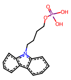 O=P(O)(O)OCCCCn1c2ccccc2c2ccccc21